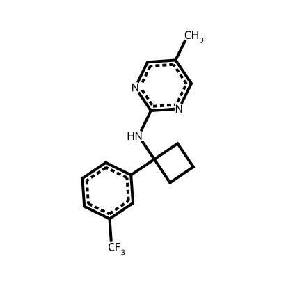 Cc1cnc(NC2(c3cccc(C(F)(F)F)c3)CCC2)nc1